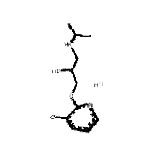 CC(C)NCC(O)COc1ncccc1Cl.Cl